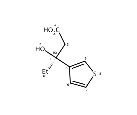 CC[C@](O)(CC(=O)O)c1ccsc1